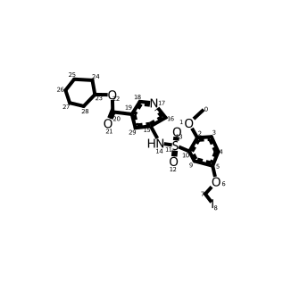 COc1ccc(OCI)cc1S(=O)(=O)Nc1cncc(C(=O)OC2CCCCC2)c1